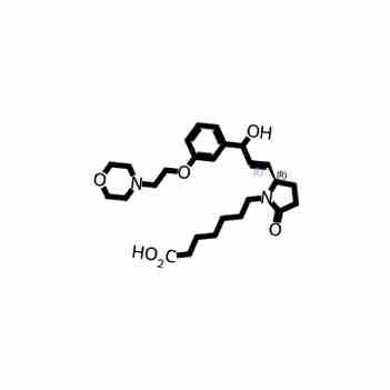 O=C(O)CCCCCCN1C(=O)CC[C@@H]1/C=C/C(O)c1cccc(OCCN2CCOCC2)c1